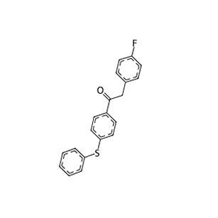 O=C(Cc1ccc(F)cc1)c1ccc(Sc2ccccc2)cc1